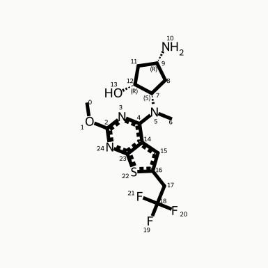 COc1nc(N(C)[C@H]2C[C@@H](N)C[C@H]2O)c2cc(CC(F)(F)F)sc2n1